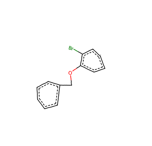 Brc1c[c]ccc1OCc1ccccc1